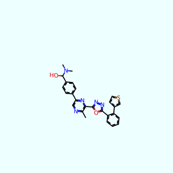 Cc1ncc(-c2ccc(C(O)N(C)C)cc2)nc1-c1nnc(-c2ccccc2-c2ccsc2)o1